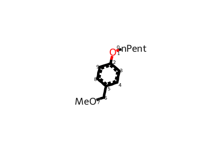 CCCCCOc1ccc(COC)cc1